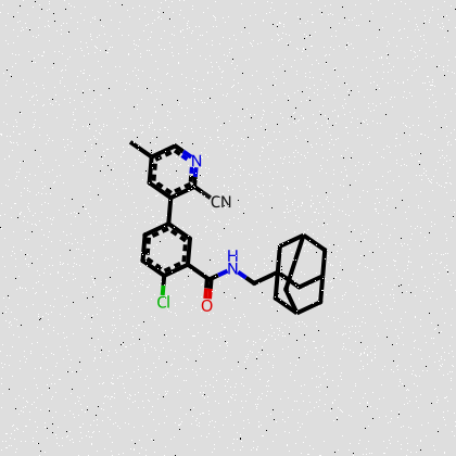 Cc1cnc(C#N)c(-c2ccc(Cl)c(C(=O)NCC34CC5CC(CC(C5)C3)C4)c2)c1